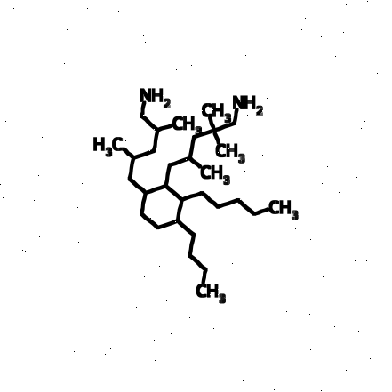 CCCCCC1C(CCCC)CCC(CC(C)CC(C)CN)C1CC(C)CC(C)(C)CN